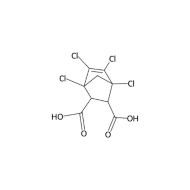 O=C(O)C1C(C(=O)O)C2(Cl)CC1(Cl)C(Cl)=C2Cl